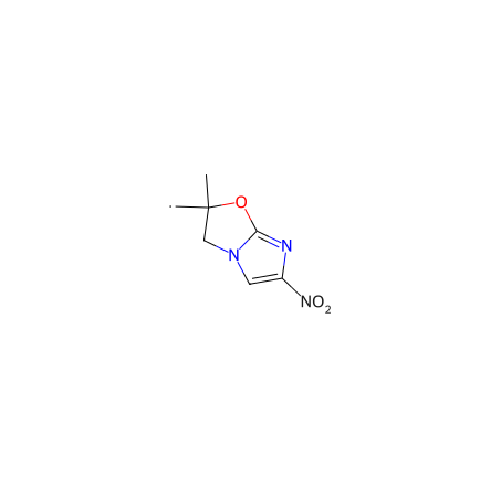 [CH2]C1(C)Cn2cc([N+](=O)[O-])nc2O1